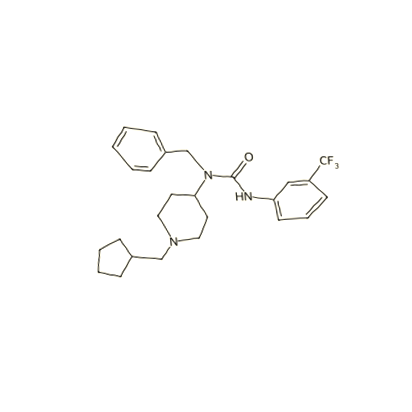 O=C(Nc1cccc(C(F)(F)F)c1)N(Cc1ccccc1)C1CCN(CC2CCCC2)CC1